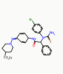 CCOC(=O)C1CCN(N=C2C=CC(NC(=O)C(c3ccccc3)N(C(N)=S)c3ccc(Br)cc3)C=C2)CC1